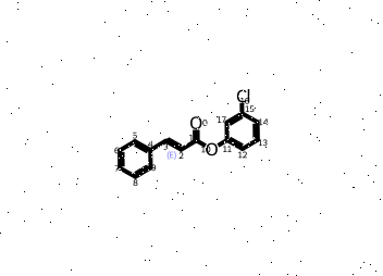 O=C(/C=C/c1ccccc1)Oc1cccc(Cl)c1